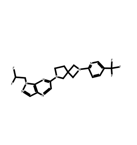 FC(F)Cn1ncc2ncc(N3CCC4(CN(c5ccc(C(F)(F)F)cn5)C4)C3)nc21